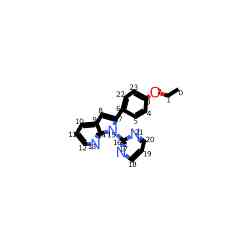 CCOc1ccc(-c2cc3cccnc3n2-c2ncccn2)cc1